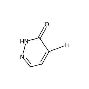 [Li][c]1ccn[nH]c1=O